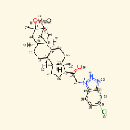 COCC[C@]12CC[C@@](C)(O)C[C@@H]1CC[C@H]1[C@@H]3CC[C@H](C(=O)Cn4nnc5cc(Cl)ccc54)[C@@]3(C)CC[C@@H]12